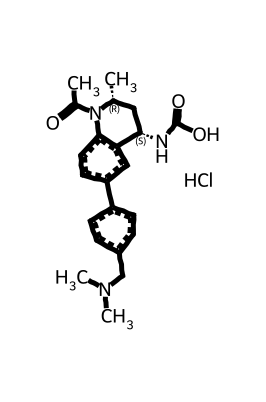 CC(=O)N1c2ccc(-c3ccc(CN(C)C)cc3)cc2[C@@H](NC(=O)O)C[C@H]1C.Cl